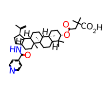 C=C(C)[C@@H]1CC[C@]2(NC(=O)c3ccncc3)CC[C@]3(C)[C@H](CC[C@@H]4[C@@]5(C)CC[C@H](OC(=O)CC(C)(C)C(=O)O)C(C)(C)[C@@H]5CC[C@]43C)[C@@H]12